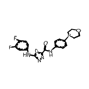 O=C(Nc1ccc(N2CCOCC2)cc1)c1nnc(Nc2ccc(F)c(F)c2)o1